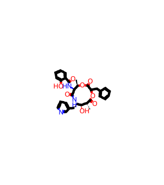 C[C@H]1OC(=O)C(Cc2ccccc2)OC(=O)[C@H](C)[C@H](O)[C@H](Cc2cccnc2)NC(=O)[C@H]1NC(=O)c1ccccc1O